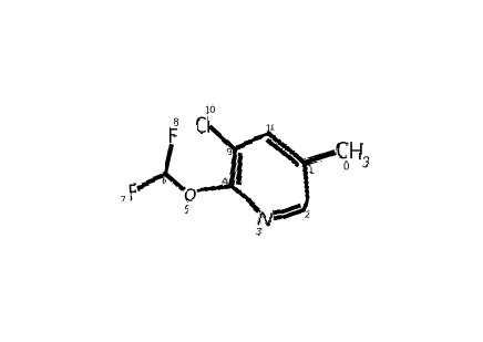 Cc1cnc(OC(F)F)c(Cl)c1